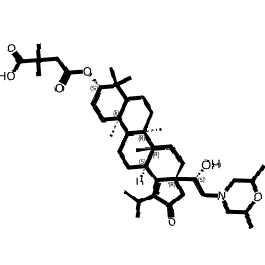 CC1CN(C[C@@H](O)[C@@]23CC[C@]4(C)[C@H](CCC5[C@@]6(C)CC[C@H](OC(=O)CC(C)(C)C(=O)O)C(C)(C)C6CC[C@]54C)C2=C(C(C)C)C(=O)C3)CC(C)O1